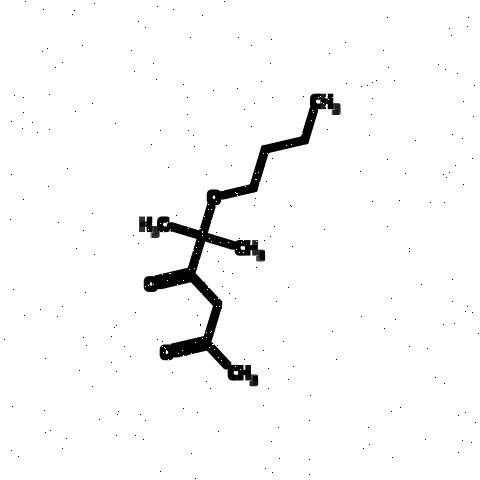 CCCCOC(C)(C)C(=O)CC(C)=O